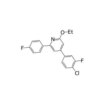 CCOc1cc(-c2ccc(Cl)c(F)c2)cc(-c2ccc(F)cc2)n1